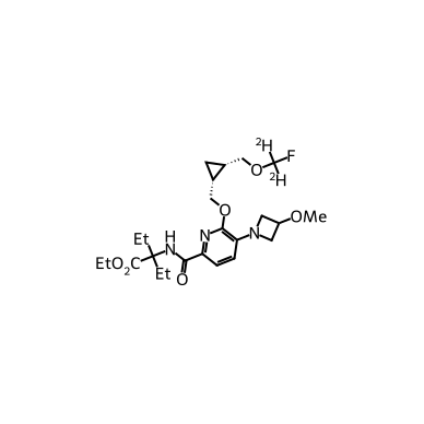 [2H]C([2H])(F)OC[C@H]1C[C@H]1COc1nc(C(=O)NC(CC)(CC)C(=O)OCC)ccc1N1CC(OC)C1